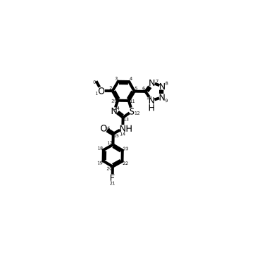 COc1ccc(-c2nnn[nH]2)c2sc(NC(=O)c3ccc(F)cc3)nc12